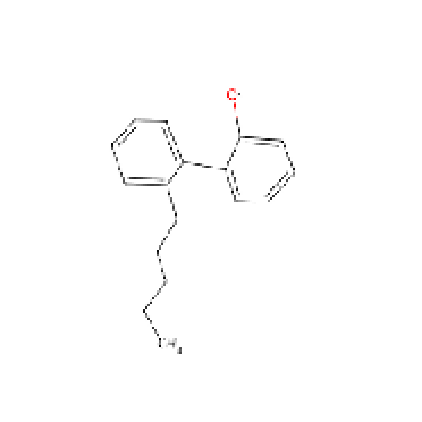 CCCCCc1ccccc1-c1ccccc1[O]